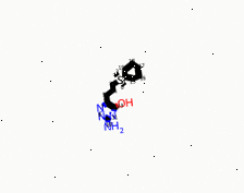 C[Si](C)(CCCc1nnc(N)nc1O)c1ccccc1